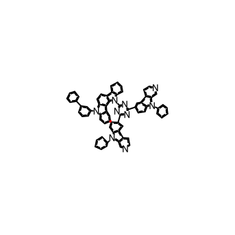 c1ccc(-c2cccc(-n3c4ccccc4c4c3ccc3c5ccccc5n(-c5nc(-c6ccc7c(c6)c6ccncc6n7-c6ccccc6)nc(-c6ccc7c(c6)c6ccncc6n7-c6ccccc6)n5)c34)c2)cc1